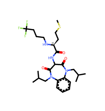 CSCC[C@H](NCCCC(F)(F)F)C(=O)NC1C(=O)N(CC(C)C)c2ccccc2N(CC(C)C)C1=O